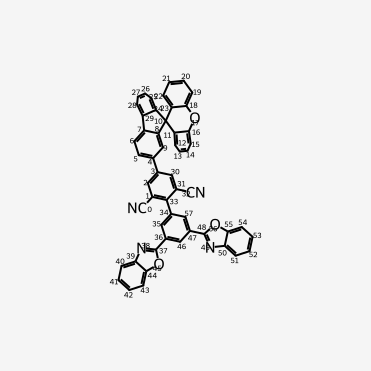 N#Cc1cc(-c2ccc3c(c2)C2(c4ccccc4Oc4ccccc42)c2ccccc2-3)cc(C#N)c1-c1cc(-c2nc3ccccc3o2)cc(-c2nc3ccccc3o2)c1